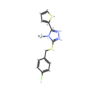 Cn1c(SCc2ccc(F)cc2)nnc1-c1cccs1